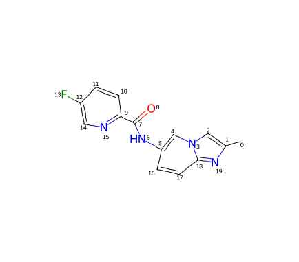 Cc1cn2cc(NC(=O)c3ccc(F)cn3)ccc2n1